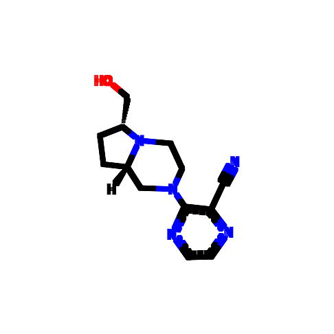 N#Cc1nccnc1N1CCN2[C@@H](CO)CC[C@H]2C1